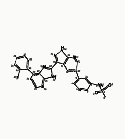 CS(=O)(=O)Nc1cncc(-c2cnc3[nH]nc(-c4nc5c(-c6ccccc6F)ccnc5[nH]4)c3c2)c1